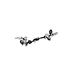 COC(=O)N[C@@H](C(=O)N1CCCC1c1nc(C#Cc2cc3sc(-c4ccc(-c5cnc([C@@H]6CCCN6C(=O)[C@@H](NC(=O)O)C(C)C)[nH]5)cc4)cc3s2)c[nH]1)c1ccccc1